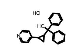 Cl.OC(c1ccccc1)(c1ccccc1)C1CC1c1ccncc1